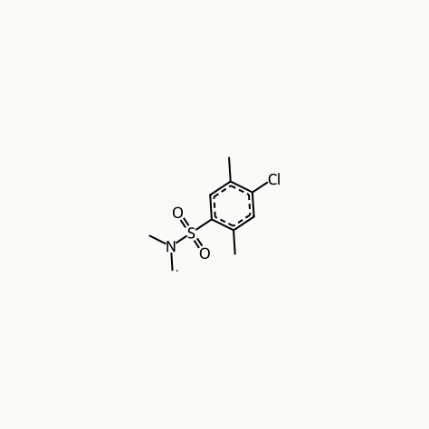 [CH2]N(C)S(=O)(=O)c1cc(C)c(Cl)cc1C